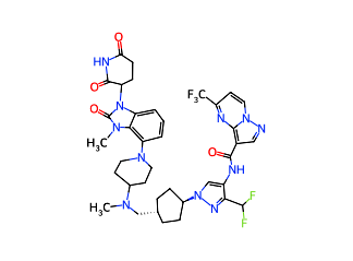 CN(C[C@H]1CC[C@H](n2cc(NC(=O)c3cnn4ccc(C(F)(F)F)nc34)c(C(F)F)n2)CC1)C1CCN(c2cccc3c2n(C)c(=O)n3C2CCC(=O)NC2=O)CC1